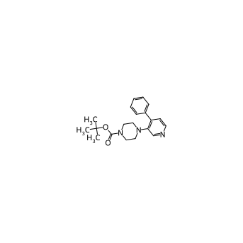 CC(C)(C)OC(=O)N1CCN(c2cnccc2-c2ccccc2)CC1